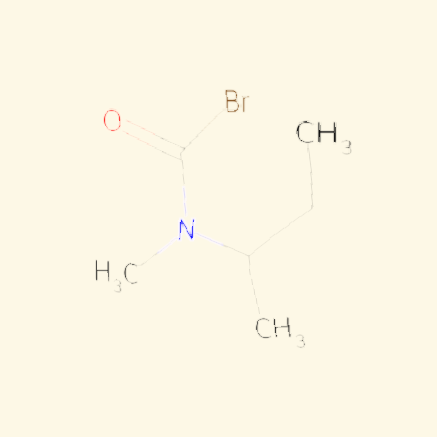 CCC(C)N(C)C(=O)Br